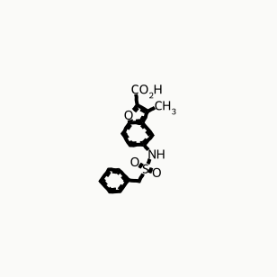 Cc1c(C(=O)O)oc2ccc(NS(=O)(=O)Cc3ccccc3)cc12